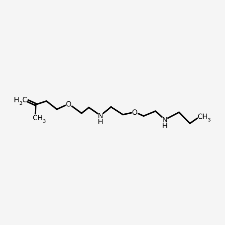 C=C(C)CCOCCNCCOCCNCCC